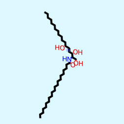 CCCCCCCCCCCCCCCCCCCCC(=O)NC(CO)C(O)/C=C/C(O)CCCCCCCCCCCC